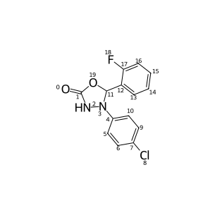 O=C1NN(c2ccc(Cl)cc2)C(c2ccccc2F)O1